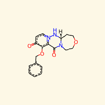 O=C1c2c(OCc3ccccc3)c(=O)ccn2N[C@@H]2CCOCCN12